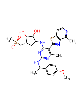 Cc1nc(N[C@H](C)c2ccc(OC(F)(F)F)cc2)nc(NC2C[C@H](CS(C)(=O)=O)[C@@H](O)[C@H]2O)c1-c1nc2c(C)nccc2s1